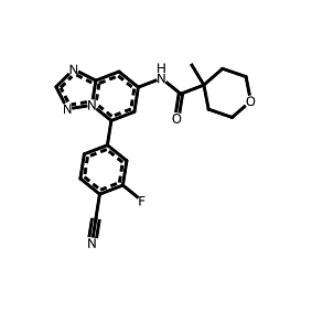 CC1(C(=O)Nc2cc(-c3ccc(C#N)c(F)c3)n3ncnc3c2)CCOCC1